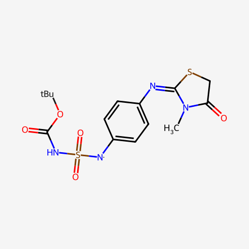 CN1C(=O)CSC1=Nc1ccc([N]S(=O)(=O)NC(=O)OC(C)(C)C)cc1